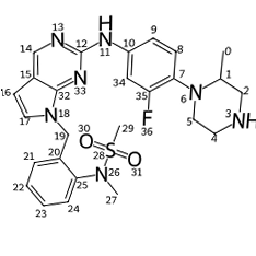 CC1CNCCN1c1ccc(Nc2ncc3ccn(Cc4ccccc4N(C)S(C)(=O)=O)c3n2)cc1F